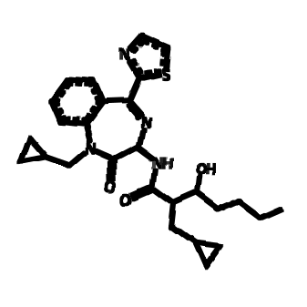 CCCCC(O)C(CC1CC1)C(=O)NC1N=C(c2nccs2)c2ccccc2N(CC2CC2)C1=O